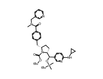 CN(Cc1cccnc1)C(=O)c1ccc(C[C@@H]2CC[C@H]([C@H](O[Si](C)(C)C(C)(C)C)c3ccc(NC4CC4)nc3)N2C(=O)OC(C)(C)C)cc1